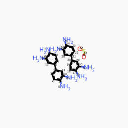 Nc1ccc(-c2ccc(N)c(N)c2)cc1N.Nc1ccc(-c2ccc(N)c(N)c2)cc1N.O=S=O